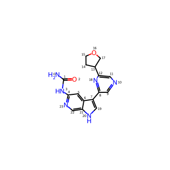 NC(=O)Nc1cc2c(-c3cncc(C4CCOC4)n3)c[nH]c2cn1